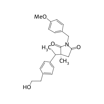 COc1ccc(CN2C(=O)C[C@@](C)(C(C)c3ccc(CCO)cc3)C2=O)cc1